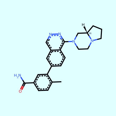 Cc1ccc(C(N)=O)cc1-c1ccc2c(N3CCN4CCC[C@H]4C3)nncc2c1